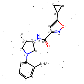 CC(=O)Nc1ccccc1N1C[C@H](C)[C@H](NC(=O)c2cc(C3CC3)on2)C1